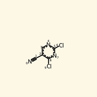 N#Cc1[c]nc(Cl)nc1Cl